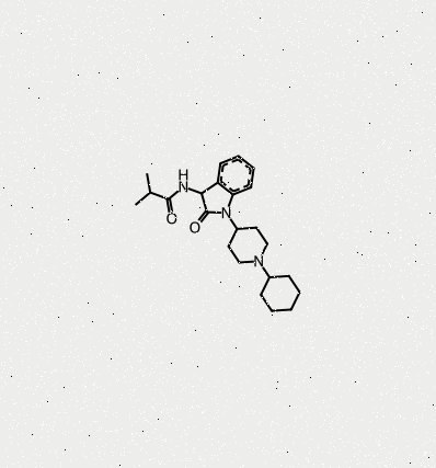 CC(C)C(=O)NC1C(=O)N(C2CCN(C3CCCCC3)CC2)c2ccccc21